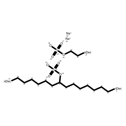 CCCCCCCCCCCCCCCCCC(CCCCCCCCCCCCCCCC)OS(=O)(=O)[O-].CCCCCCCCCCCCOS(=O)(=O)[O-].[Na+].[Na+]